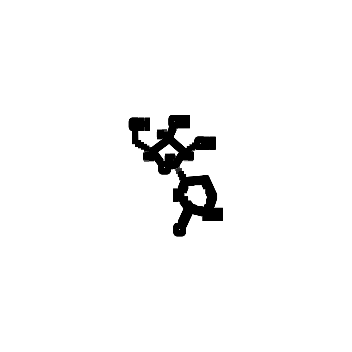 O=c1nc([C@@H]2O[C@H](CO)[C@@H](O)[C@@H]2O)cc[nH]1